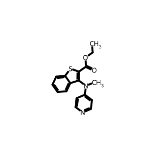 CCOC(=O)c1sc2ccccc2c1N(C)c1ccncc1